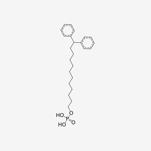 O=P(O)(O)OCCCCCCCCCCCC(c1ccccc1)c1ccccc1